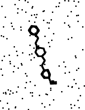 CC(C)(C)c1ccc(CCC2CCN(CCc3ccccc3)CC2)cc1